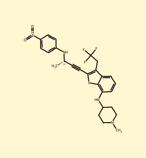 C[C@@H](C#Cc1sc2c(NC3CCN(C)CC3)cccc2c1CC(F)(F)F)Nc1ccc([SH](=O)=O)cc1